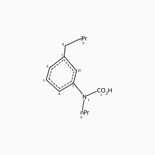 CCCN(C(=O)O)c1cccc(CC(C)C)c1